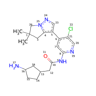 CC1(C)Cc2c(-c3cc(NC(=O)CC4CCC(N)C4)ncc3Cl)cnn2C1